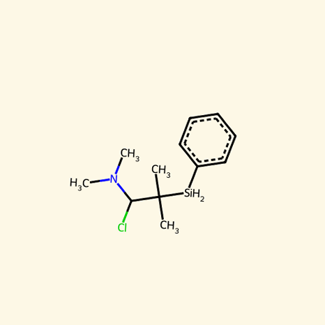 CN(C)C(Cl)C(C)(C)[SiH2]c1ccccc1